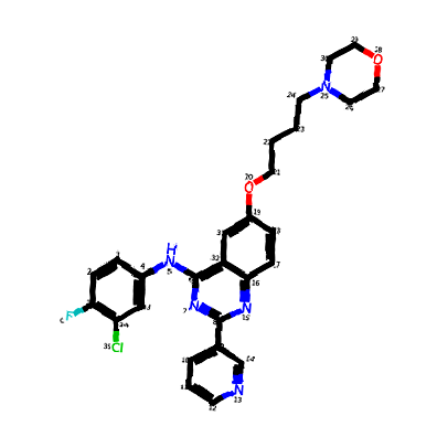 Fc1ccc(Nc2nc(-c3cccnc3)nc3ccc(OCCCCN4CCOCC4)cc23)cc1Cl